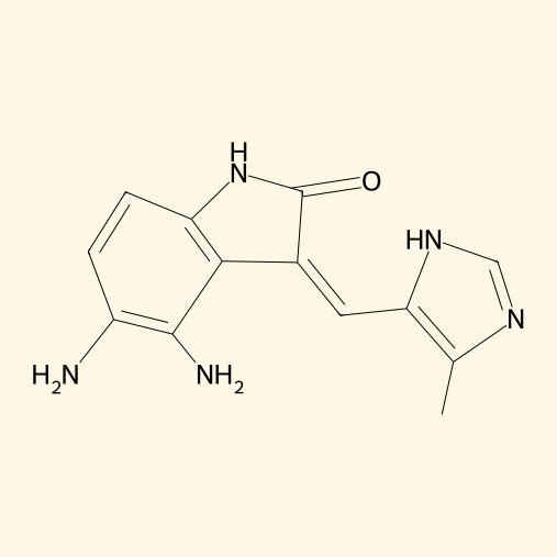 Cc1nc[nH]c1/C=C1\C(=O)Nc2ccc(N)c(N)c21